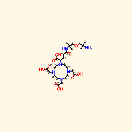 CC(C)(N)COCC(C)(C)NC(=O)CCC(C(=O)O)N1CCN(CC(=O)O)CCN(CC(=O)O)CCN(CC(=O)O)CC1